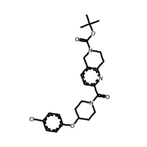 CC(C)(C)OC(=O)N1CCc2nc(C(=O)N3CCC(Oc4ccc(Cl)cc4)CC3)ccc2C1